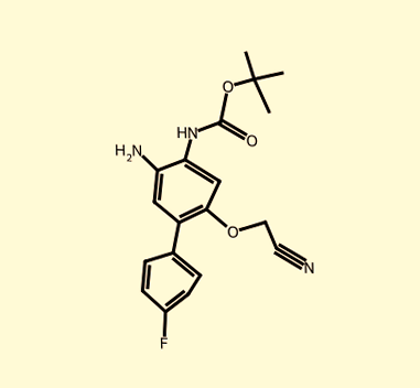 CC(C)(C)OC(=O)Nc1cc(OCC#N)c(-c2ccc(F)cc2)cc1N